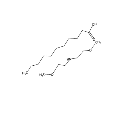 CCCCCCCCCCC(=O)O.COCCNCCOC